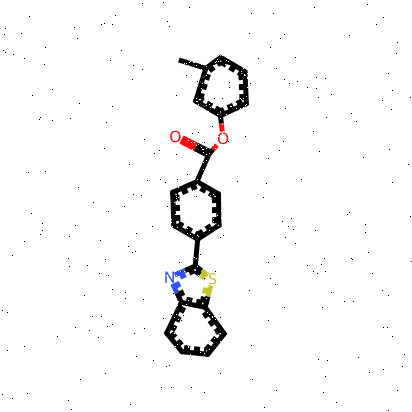 Cc1cccc(OC(=O)c2ccc(-c3nc4ccccc4s3)cc2)c1